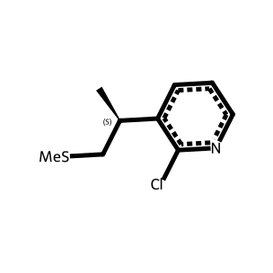 CSC[C@@H](C)c1cccnc1Cl